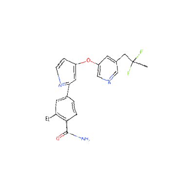 CCc1cc(-c2cc(Oc3cncc(CC(C)(F)F)c3)ccn2)ccc1C(N)=O